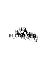 C=C1[C@@H](O)C[C@H](O[Si](C)(C)C(C)(C)C)C[C@]12O[C@@H]2COC(C)=O